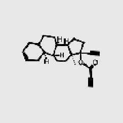 C#CC(=O)O[C@@]1(C#C)CC[C@H]2[C@@H]3CCC4CC=CC[C@@H]4[C@H]3CC[C@@]21C